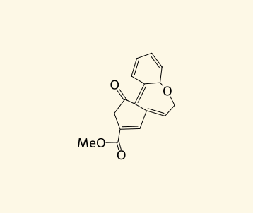 COC(=O)C1=CC2=CCOC3C=CC=CC3=C2C(=O)C1